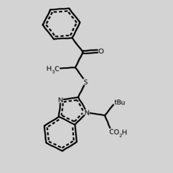 CC(Sc1nc2ccccc2n1C(C(=O)O)C(C)(C)C)C(=O)c1ccccc1